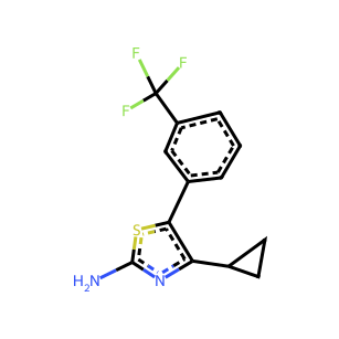 Nc1nc(C2CC2)c(-c2cccc(C(F)(F)F)c2)s1